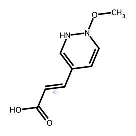 CON1C=CC(/C=C/C(=O)O)=CN1